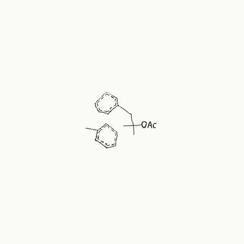 CC(=O)OC(C)(C)Cc1ccccc1.Cc1ccccc1